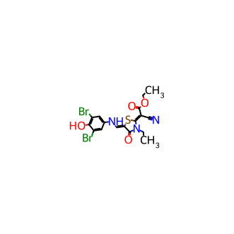 CCOC(=O)C(C#N)=c1sc(=CNc2cc(Br)c(O)c(Br)c2)c(=O)n1CC